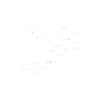 C[C@@H]1CCO[C@H]2Cn3cc(C(=O)NCc4ccc(F)cc4F)c(=O)c(OCOC(=O)N4CCCC4)c3C(=O)N12